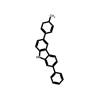 CC1C=CC(c2ccc3[nH]c4cc(-c5ccccc5)ccc4c3c2)=CC1